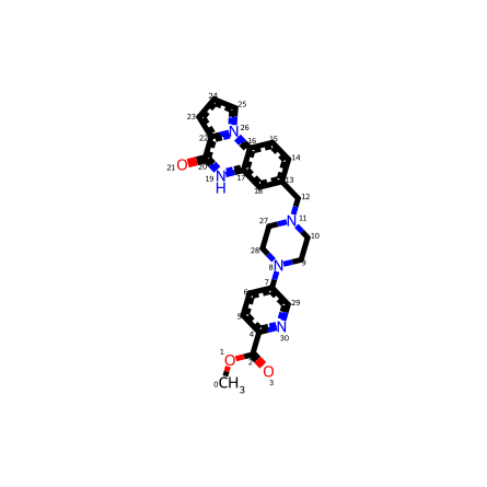 COC(=O)c1ccc(N2CCN(Cc3ccc4c(c3)[nH]c(=O)c3cccn34)CC2)cn1